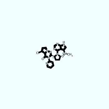 C[S@@+]([O-])c1c[nH]c2ncnc(N3CCC[C@H]3c3nn4ccc(Cl)c4c(=O)n3-c3ccccn3)c12